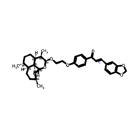 C[C@H]1[C@@H](OCCOc2ccc(C(=O)/C=C/c3ccc4c(c3)OCO4)cc2)O[C@@H]2O[C@@]3(C)CC[C@H]4[C@H](C)CC[C@@H]1[C@@]24OO3